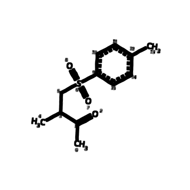 CC(=O)C(C)CS(=O)(=O)c1ccc(C)cc1